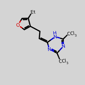 CCc1cocc1CC=C1N=C(C(Cl)(Cl)Cl)N=C(C(Cl)(Cl)Cl)N1